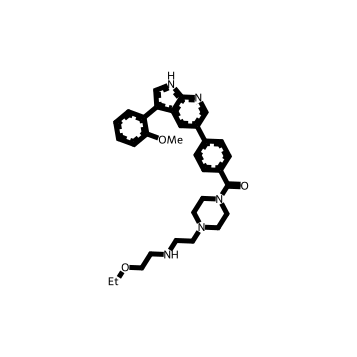 CCOCCNCCN1CCN(C(=O)c2ccc(-c3cnc4[nH]cc(-c5ccccc5OC)c4c3)cc2)CC1